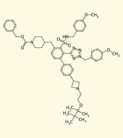 COc1ccc(CNS(=O)(=O)c2c(CC3CCN(C(=O)OCc4ccccc4)CC3)ccc(-c3ccc(C4CN(CCO[Si](C)(C)C(C)(C)C)C4)cc3)c2-c2nnn(Cc3ccc(OC)cc3)n2)cc1